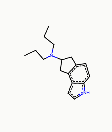 CCCN(CCC)C1Cc2ccc3[nH]ccc3c2C1